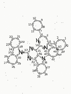 c1ccc(-c2cc(-c3ccccc3)nc(-c3nc(-n4c5ccccc5c5ccccc54)nc4c5ccccc5n(-c5ccccc5)c34)n2)cc1